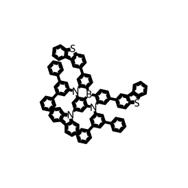 c1ccc(-c2cc(-c3ccccc3)cc(N3c4cc(-c5ccc6sc7ccccc7c6c5)ccc4B4c5ccc(-c6ccc7sc8ccccc8c7c6)cc5N(c5cc(-c6ccccc6)cc(-c6ccccc6)c5)c5cc(-n6c7ccccc7c7ccccc76)cc3c54)c2)cc1